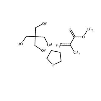 C1CCOC1.C=C(C)C(=O)OC.OCC(CO)(CO)CO